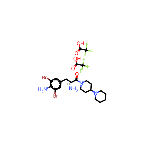 Nc1c(Br)cc(C[C@@H](N)C(=O)N2CCC(N3CCCCC3)CC2)cc1Br.O=C(O)C(F)(F)F.O=C(O)C(F)(F)F